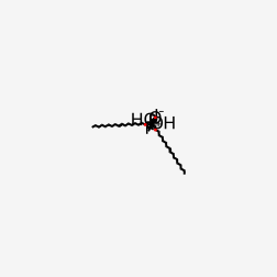 CCCCCCCCC=CCCCCCCCCC(CCCCCCCCC=CCCCCCCCC)(P(=O)(O)O)[P+](C)(C)C.[I-]